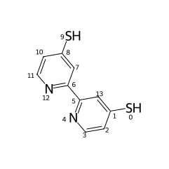 Sc1ccnc(-c2cc(S)ccn2)c1